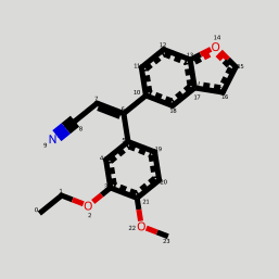 CCOc1cc(/C(=C\C#N)c2ccc3occc3c2)ccc1OC